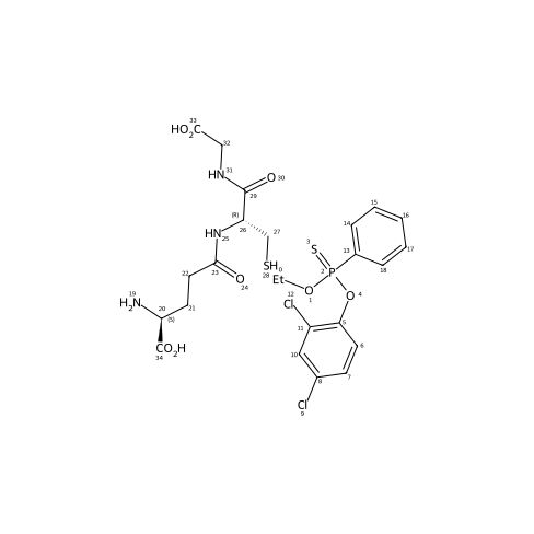 CCOP(=S)(Oc1ccc(Cl)cc1Cl)c1ccccc1.N[C@@H](CCC(=O)N[C@@H](CS)C(=O)NCC(=O)O)C(=O)O